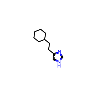 c1nc(CCC2CCCCC2)c[nH]1